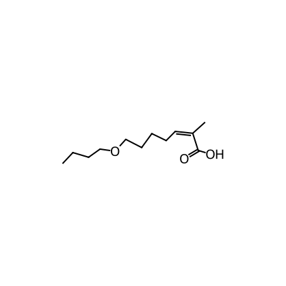 CCCCOCCCCC=C(C)C(=O)O